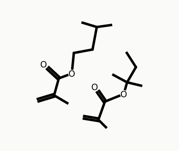 C=C(C)C(=O)OC(C)(C)CC.C=C(C)C(=O)OCCC(C)C